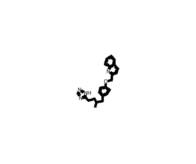 CC(CCc1ncn[nH]1)Cc1ccc(OCc2ccc3ccccc3n2)cc1